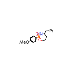 COc1ccc(P2(=O)NC(CC(C)C)CCCO2)cc1